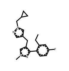 CCc1cc(F)ccc1-c1nn(C)cc1Cc1cnn(CC2CC2)c1